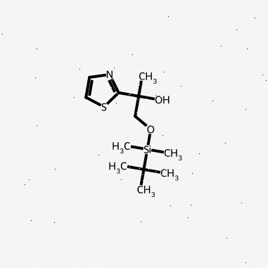 CC(O)(CO[Si](C)(C)C(C)(C)C)c1nccs1